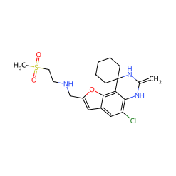 C=C1Nc2c(Cl)cc3cc(CNCCS(C)(=O)=O)oc3c2C2(CCCCC2)N1